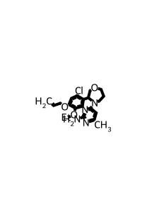 C=CCOc1cc(Cl)c(C2COCCCN2c2cc(C)nc(N)n2)cc1OCC